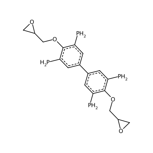 Pc1cc(-c2cc(P)c(OCC3CO3)c(P)c2)cc(P)c1OCC1CO1